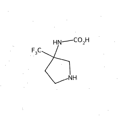 O=C(O)NC1(C(F)(F)F)CCNC1